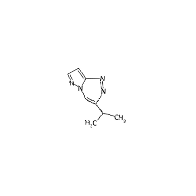 CC(C)c1cn2nccc2nn1